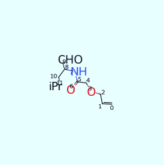 C=CCOCC(=O)NC(C=O)CC(C)C